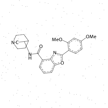 COc1ccc(-c2nc3c(C(=O)NC4CN5CCC4CC5)cccc3o2)c(OC)c1